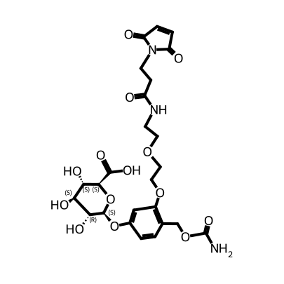 NC(=O)OCc1ccc(O[C@@H]2O[C@H](C(=O)O)[C@@H](O)[C@H](O)[C@H]2O)cc1OCCOCCNC(=O)CCN1C(=O)C=CC1=O